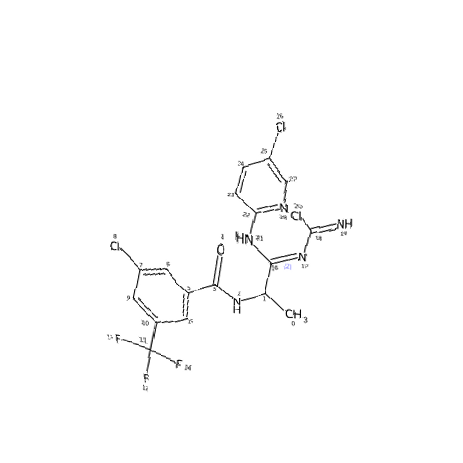 CC(NC(=O)c1cc(Cl)cc(C(F)(F)F)c1)/C(=N/C(=N)Cl)Nc1ccc(Cl)cn1